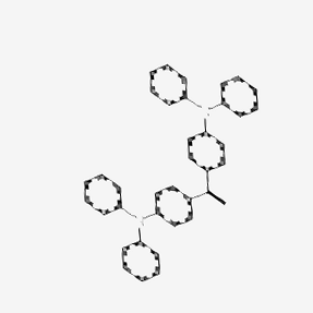 C=C(c1ccc(N(c2ccccc2)c2ccccc2)cc1)c1ccc(N(c2ccccc2)c2ccccc2)cc1